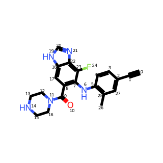 C#Cc1ccc(Nc2c(C(=O)N3CCNCC3)cc3[nH]cnc3c2F)c(C)c1